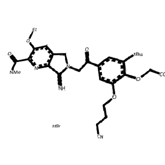 Br.CCOc1cc2c(nc1C(=O)NC)C(=N)N(CC(=O)c1cc(OCCCC#N)c(OCC(=O)O)c(C(C)(C)C)c1)C2